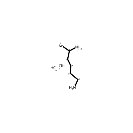 CC(=O)C(N)CCCCN.Cl.Cl